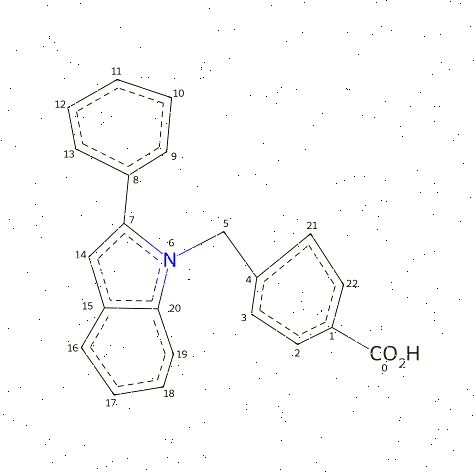 O=C(O)c1ccc(Cn2c(-c3ccccc3)cc3ccccc32)cc1